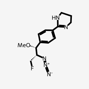 CO[C@H](c1ccc(C2=NCCCN2)cc1)[C@@H](CF)N=[N+]=[N-]